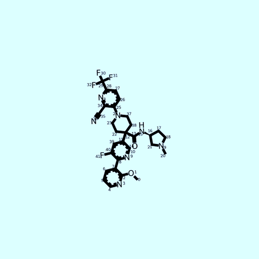 COc1ncccc1-c1ncc(C2(C(=O)N[C@H]3CCN(C)C3)CCN(c3ccc(C(F)(F)F)nc3C#N)CC2)cc1F